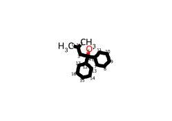 CC(C)CC([O])(C1CCCCC1)C1CCCCC1